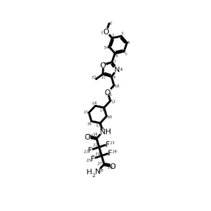 COc1cccc(-c2nc(COCC3CCCC(NC(=O)C(F)(F)C(F)(F)C(N)=O)C3)c(C)o2)c1